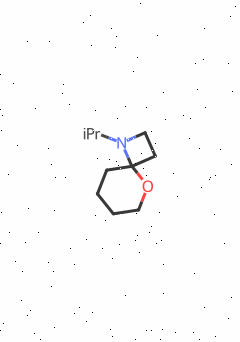 CC(C)N1CCC12CCCCO2